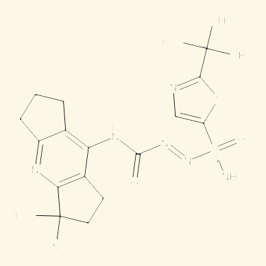 CC(C)(O)c1ncc([SH](N)(=O)/N=N/C(=O)Nc2c3c(nc4c2CCC4(C)C)CCC3)s1